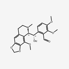 COc1ccc([C@H](O)[C@H]2c3c(cc4c(c3OC)OCO4)CCN2C)c(C=O)c1OC